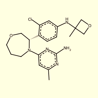 Cc1cc(N2CCCOC[C@@H]2c2ccc(NC3(C)COC3)cc2Cl)nc(N)n1